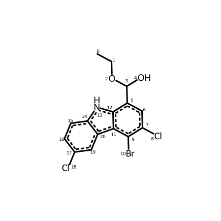 CCOC(O)c1cc(Cl)c(Br)c2c1[nH]c1ccc(Cl)cc12